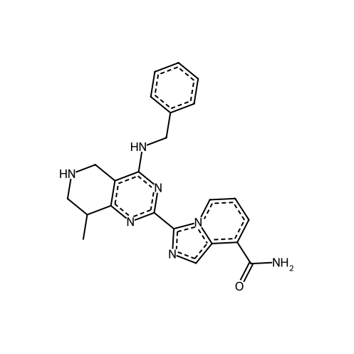 CC1CNCc2c(NCc3ccccc3)nc(-c3ncc4c(C(N)=O)cccn34)nc21